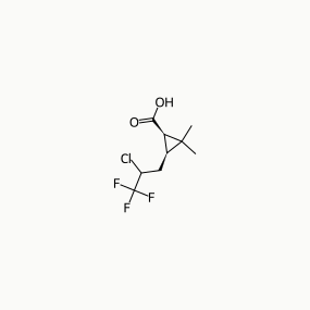 CC1(C)[C@H](C(=O)O)[C@@H]1CC(Cl)C(F)(F)F